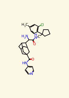 Cc1ccc(C2(CNC(=O)C(N)C3C4CC5CC3CC(C(=O)Nc3ccncc3)(C5)C4)CCCC2)c(Cl)c1